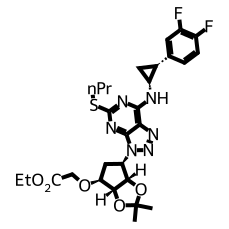 CCCSc1nc(N[C@@H]2C[C@@H]2c2ccc(F)c(F)c2)c2nnn([C@@H]3C[C@H](OCC(=O)OCC)[C@H]4OC(C)(C)O[C@H]43)c2n1